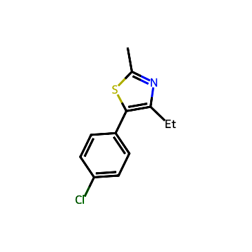 CCc1nc(C)sc1-c1ccc(Cl)cc1